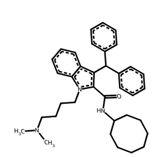 CN(C)CCCCn1c(C(=O)NC2CCCCCCC2)c(C(c2ccccc2)c2ccccc2)c2ccccc21